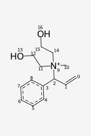 C=CC(c1ccccc1)[N+](C)(CCO)CCO